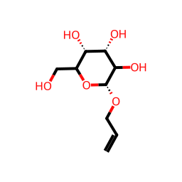 C=CCO[C@@H]1OC(CO)[C@H](O)[C@H](O)C1O